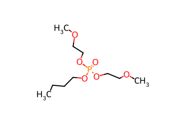 CCCCOP(=O)(OCCOC)OCCOC